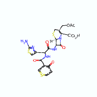 CC(=O)OCC1=C(C(=O)O)N2C(=O)[C@@H](NC(=O)C(NC(=O)c3csccc3=O)c3csc(N)n3)[C@H]2SC1